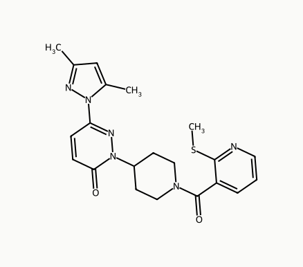 CSc1ncccc1C(=O)N1CCC(n2nc(-n3nc(C)cc3C)ccc2=O)CC1